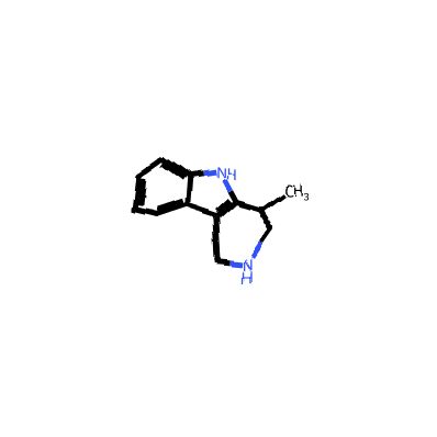 CC1CNCc2c1[nH]c1ccccc21